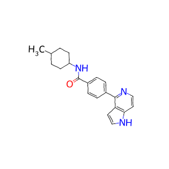 CC1CCC(NC(=O)c2ccc(-c3nccc4[nH]ccc34)cc2)CC1